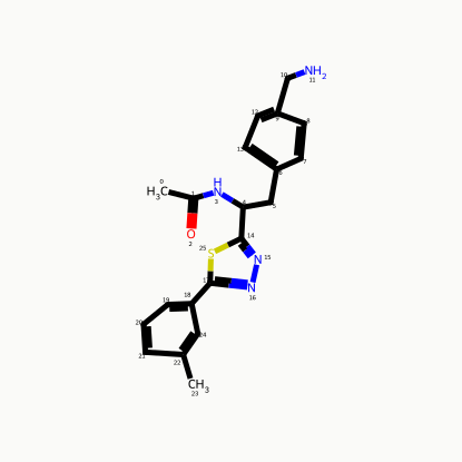 CC(=O)NC(Cc1ccc(CN)cc1)c1nnc(-c2cccc(C)c2)s1